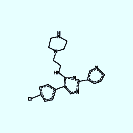 Clc1ccc(-c2cnc(-c3cccnc3)nc2NCCN2CCNCC2)cc1